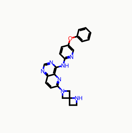 c1ccc(Oc2ccc(Nc3ncnc4ccc(N5CC6(CCN6)C5)nc34)nc2)cc1